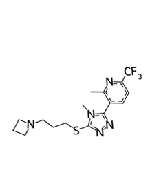 Cc1nc(C(F)(F)F)ccc1-c1nnc(SCCCN2CCC2)n1C